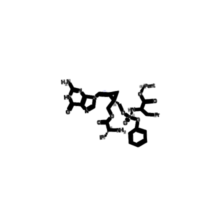 CCC[C@H](C)OC(=O)C(CC(C)C)N[P@](=O)(OC[C@@]1(COC(=O)[C@H](N)C(C)C)C/C1=C/n1cnc2c(=O)[nH]c(N)nc21)Oc1ccccc1